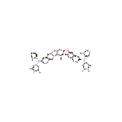 Cc1ccccc1N(c1cc(C)c(C)c(C)c1)c1ccc2cc3c(cc2c1)oc1cc2oc4cc5cc(N(c6cc(C)c(C)c(C)c6)c6ccccc6C)ccc5cc4c2c(C)c13